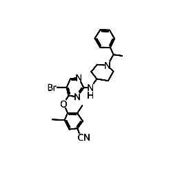 Cc1cc(C#N)cc(C)c1Oc1nc(NC2CCN(C(C)c3ccccc3)CC2)ncc1Br